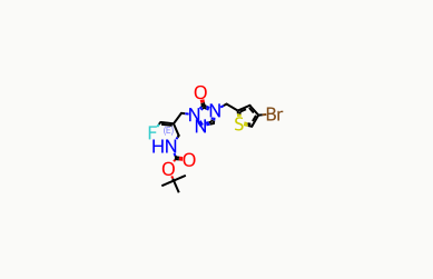 CC(C)(C)OC(=O)NC/C(=C\F)Cn1ncn(Cc2cc(Br)cs2)c1=O